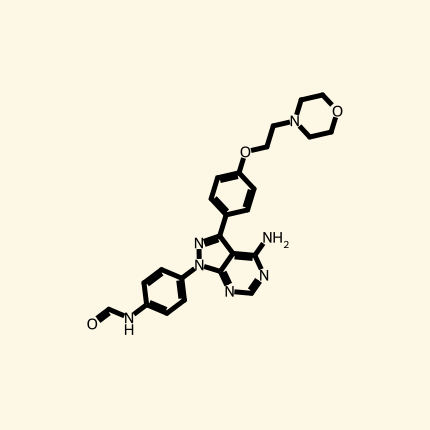 Nc1ncnc2c1c(-c1ccc(OCCN3CCOCC3)cc1)nn2-c1ccc(NC=O)cc1